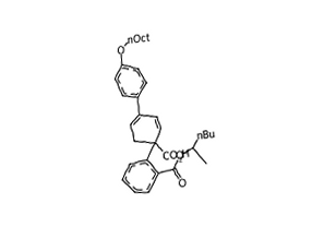 CCCCCCCCOc1ccc(C2=CCC(C(=O)O)(c3ccccc3C(=O)OC(C)CCCC)C=C2)cc1